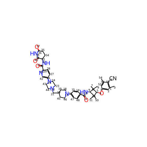 Cc1cc(OC2C(C)(C)C(NC(=O)c3ccc(N4CCC(CN5CCN(c6ccc(C(=O)NC7CCC(=O)NC7=O)nc6)CC5)CC4)cc3)C2(C)C)cc(C)c1C#N